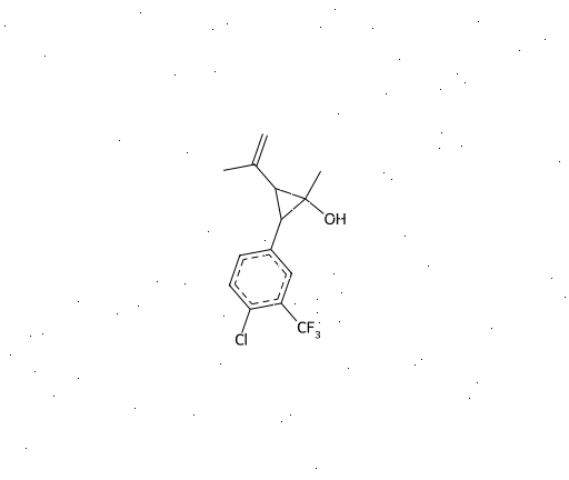 C=C(C)C1C(c2ccc(Cl)c(C(F)(F)F)c2)C1(C)O